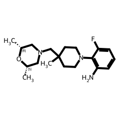 C[C@@H]1CN(CC2(C)CCN(c3c(N)cccc3F)CC2)C[C@H](C)O1